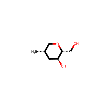 B[C@@H]1CO[C@H](CO)[C@@H](O)C1